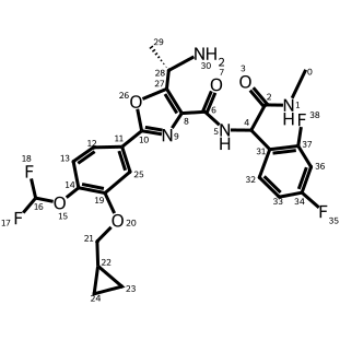 CNC(=O)C(NC(=O)c1nc(-c2ccc(OC(F)F)c(OCC3CC3)c2)oc1[C@H](C)N)c1ccc(F)cc1F